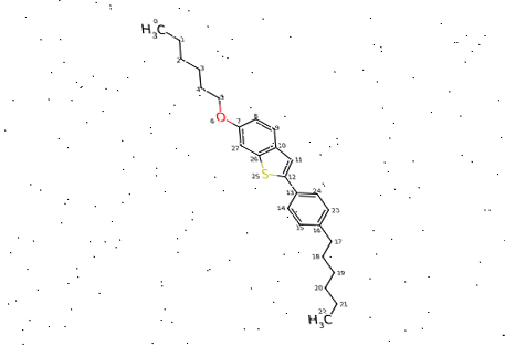 CCCCCCOc1ccc2cc(-c3ccc(CCCCCC)cc3)sc2c1